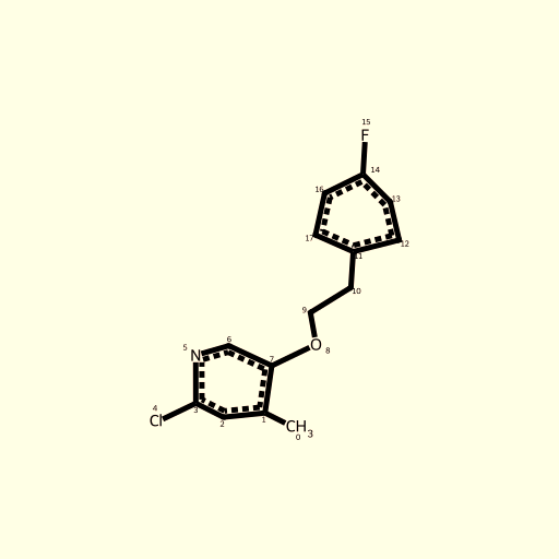 Cc1cc(Cl)ncc1OCCc1ccc(F)cc1